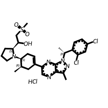 Cc1nn([C@H](C)c2ccc(Cl)cc2Cl)c2nc(C3=CC[C@H](N4CCC[C@H]4C(O)CS(C)(=O)=O)[C@H](C)C3)cnc12.Cl